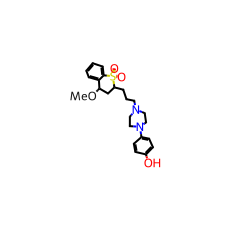 COC1CC(CCCN2CCN(c3ccc(O)cc3)CC2)S(=O)(=O)c2ccccc21